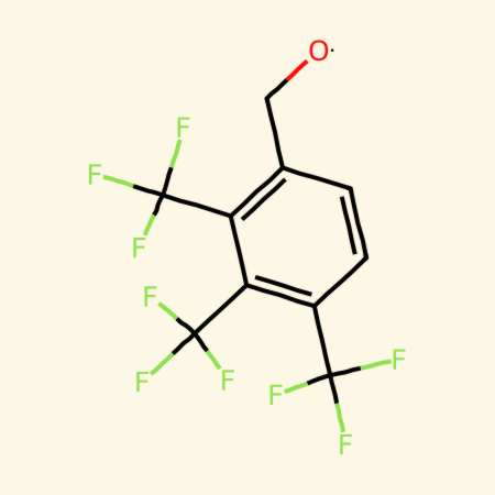 [O]Cc1ccc(C(F)(F)F)c(C(F)(F)F)c1C(F)(F)F